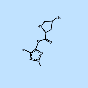 CCC(C)C1CN[C@H](C(=O)Nc2nn(C)cc2Br)C1